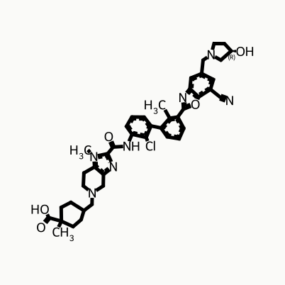 Cc1c(-c2nc3cc(CN4CC[C@@H](O)C4)cc(C#N)c3o2)cccc1-c1cccc(NC(=O)c2nc3c(n2C)CCN(CC2CCC(C)(C(=O)O)CC2)C3)c1Cl